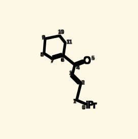 CC(C)CC=CC(=O)C1=CCCCC1